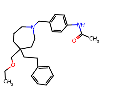 CCOCC1(CCc2ccccc2)CCCN(Cc2ccc(NC(C)=O)cc2)CC1